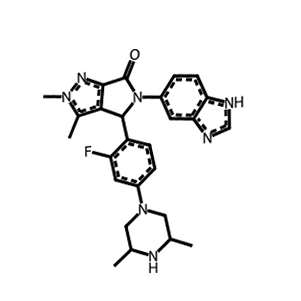 Cc1c2c(nn1C)C(=O)N(c1ccc3[nH]cnc3c1)C2c1ccc(N2CC(C)NC(C)C2)cc1F